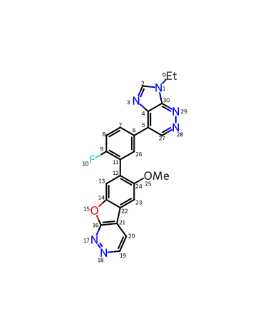 CCn1cnc2c(-c3ccc(F)c(-c4cc5oc6nnccc6c5cc4OC)c3)cnnc21